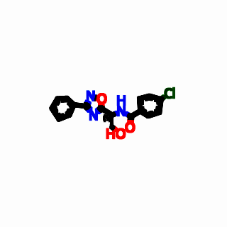 O=C(N[C@@H](CO)c1nc(-c2ccccc2)no1)c1ccc(Cl)cc1